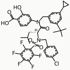 CC(C)C[C@H](C(=O)N(Cc1cc(C2CC2)cc(C(C)(C)C)c1)c1ccc(C(=O)O)c(O)c1)N(Cc1ccc(Cl)cc1)S(=O)(=O)c1c(F)c(F)c(F)c(F)c1F